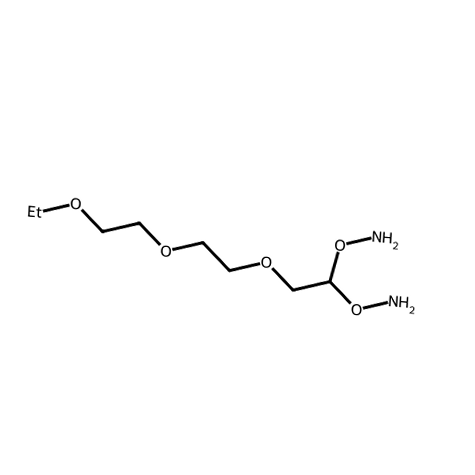 CCOCCOCCOCC(ON)ON